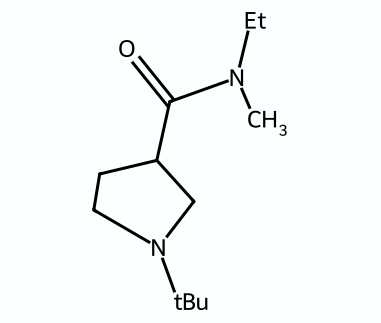 CCN(C)C(=O)C1CCN(C(C)(C)C)C1